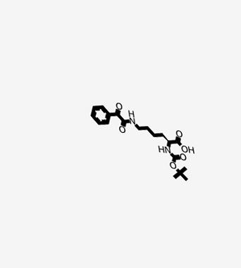 CC(C)(C)OC(=O)N[C@@H](CCCCNC(=O)C(=O)c1ccccc1)C(=O)O